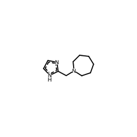 c1c[nH]c(CN2CCCCCC2)n1